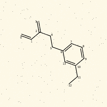 C=CC(=C)CCc1cccc(CC)c1